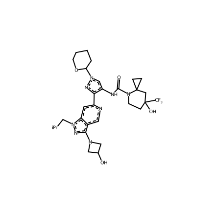 CC(C)Cn1nc(N2CC(O)C2)c2cnc(-c3nn(C4CCCCO4)cc3NC(=O)N3CCC(O)(C(F)(F)F)CC34CC4)cc21